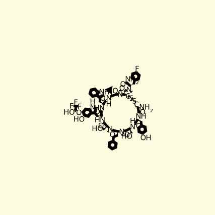 CN1C(=O)[C@H](CO)NC(=O)[C@H](Cc2ccc(O)cc2)NC(=O)[C@@H](N)CSSC[C@@H](C(=O)N(C)[C@@H](Cc2ccc(F)cc2)C(N)=O)N(C)C(=O)[C@H](C2CC2)NC(=O)[C@H](Cc2c[nH]c3ccccc23)NC(=O)[C@H](Cc2c[nH]c3ccc(O)cc23)NC(=O)[C@H](CO)N(C)C(=O)[C@@H]1CCc1ccccc1.O=C(O)C(F)(F)F